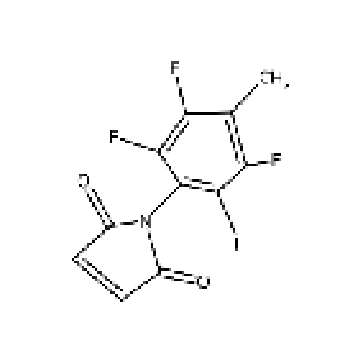 Cc1c(F)c(F)c(N2C(=O)C=CC2=O)c(F)c1F